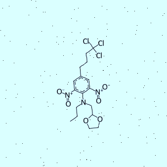 CCCN(CC1OCCO1)c1c([N+](=O)[O-])cc(CCCC(Cl)(Cl)Cl)cc1[N+](=O)[O-]